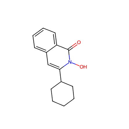 O=c1c2ccccc2cc(C2CCCCC2)n1O